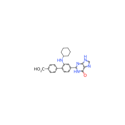 O=C(O)c1ccc(-c2ccc(-c3nc4[nH]cnc4c(=O)[nH]3)cc2NC2CCCCC2)cc1